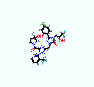 CC1(O)CCN(C(=O)c2nc(Cn3nc(-c4ccc(Cl)cc4)n(C[C@H](O)C(F)(F)F)c3=O)nn2-c2ncccc2C(F)(F)F)C1